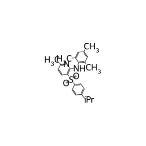 Cc1cc(C)c(Nc2nc(C)ccc2S(=O)(=O)c2ccc(C(C)C)cc2)c(C)c1